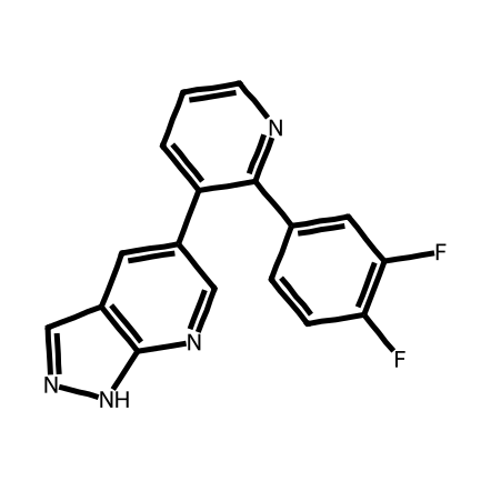 Fc1ccc(-c2ncccc2-c2cnc3[nH]ncc3c2)cc1F